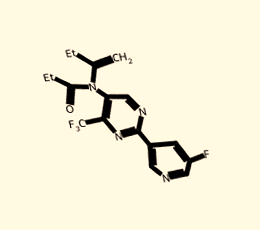 C=C(CC)N(C(=O)CC)c1cnc(-c2cncc(F)c2)nc1C(F)(F)F